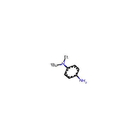 CCN(c1ccc(N)cc1)C(C)(C)C